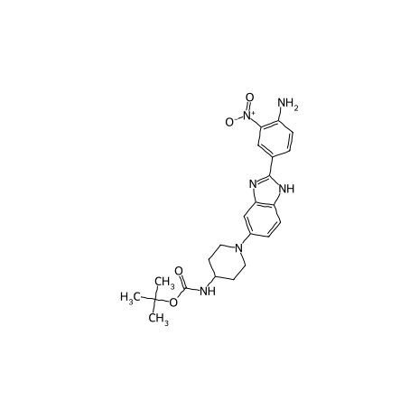 CC(C)(C)OC(=O)NC1CCN(c2ccc3[nH]c(-c4ccc(N)c([N+](=O)[O-])c4)nc3c2)CC1